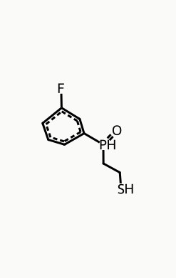 O=[PH](CCS)c1cccc(F)c1